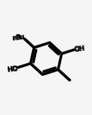 CCCCc1cc(O)c(C)cc1O